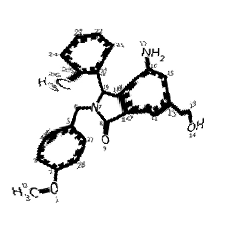 COc1ccc(CN2C(=O)c3cc(CO)cc(N)c3C2c2ccccc2C)cc1